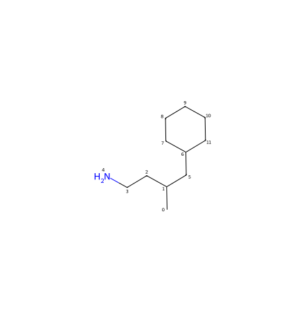 CC(CCN)CC1CCCCC1